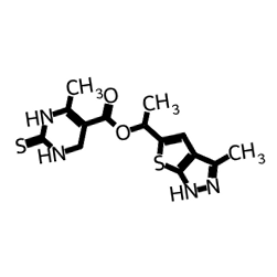 CC1=C(C(=O)OC(C)c2cc3c(C)n[nH]c3s2)CNC(=S)N1